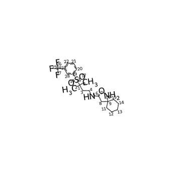 CC(C)(CCNC(=O)CC1(N)CCCCC1)S(=O)(=O)c1cccc(C(F)(F)F)c1